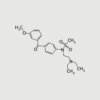 CCN(CC)CCN(c1ccc(C(=O)c2cccc(OC)c2)cc1)S(C)(=O)=O